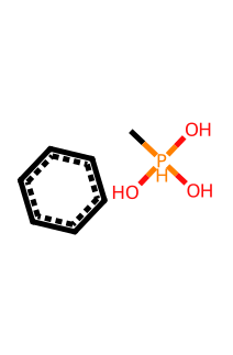 C[PH](O)(O)O.c1ccccc1